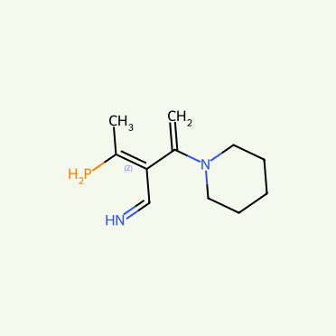 C=C(/C(C=N)=C(\C)P)N1CCCCC1